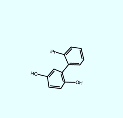 CC(C)c1ccccc1-c1cc(O)ccc1O